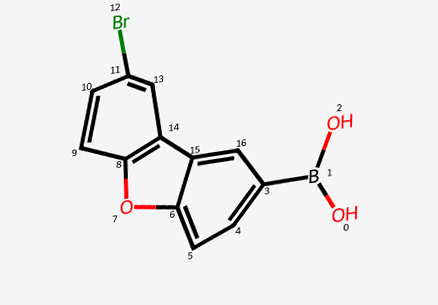 OB(O)c1ccc2oc3ccc(Br)cc3c2c1